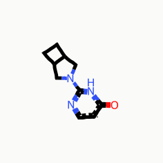 O=c1[c]cnc(N2CC3CCC3C2)[nH]1